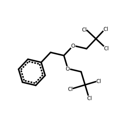 ClC(Cl)(Cl)COC(Cc1ccccc1)OCC(Cl)(Cl)Cl